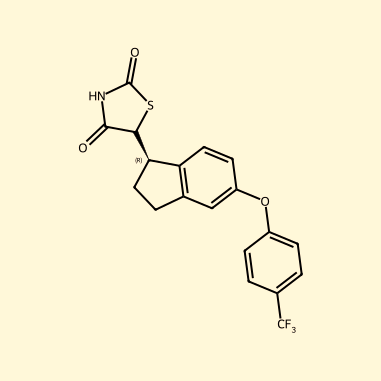 O=C1NC(=O)C([C@@H]2CCc3cc(Oc4ccc(C(F)(F)F)cc4)ccc32)S1